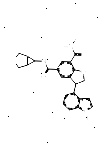 CNC(=O)c1cc(C(=O)NC2C3COCC32)cc2c1OCC2c1cccc2[nH]ccc12